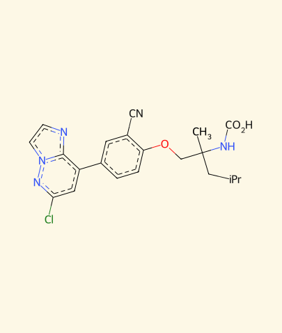 CC(C)CC(C)(COc1ccc(-c2cc(Cl)nn3ccnc23)cc1C#N)NC(=O)O